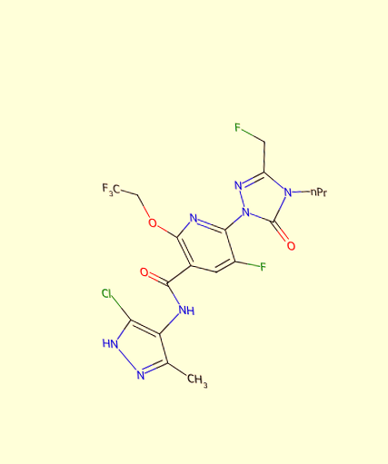 CCCn1c(CF)nn(-c2nc(OCC(F)(F)F)c(C(=O)Nc3c(C)n[nH]c3Cl)cc2F)c1=O